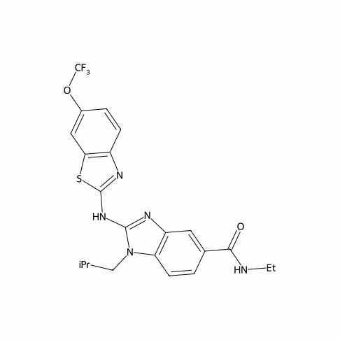 CCNC(=O)c1ccc2c(c1)nc(Nc1nc3ccc(OC(F)(F)F)cc3s1)n2CC(C)C